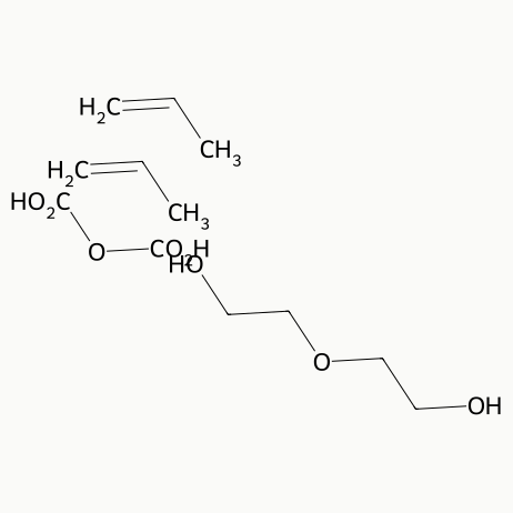 C=CC.C=CC.O=C(O)OC(=O)O.OCCOCCO